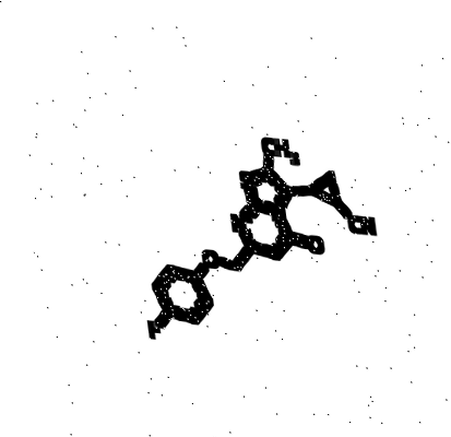 Cc1sc2nc(COc3ccc(F)cc3)cc(=O)n2c1C1CC1C#N